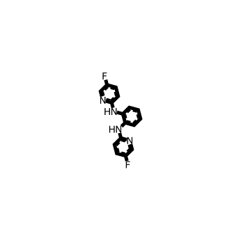 Fc1ccc(Nc2ccccc2Nc2ccc(F)cn2)nc1